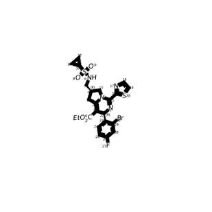 CCOC(=O)C1=C2C[C@@H](CNS(=O)(=O)C3CC3)CN2C(c2nccs2)=N[C@H]1c1ccc(F)cc1Br